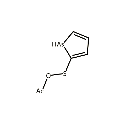 CC(=O)OSC1=CC=C[AsH]1